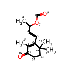 CC1=C(/C=C/C(C)OC=O)C(C)(C)CCC1=O